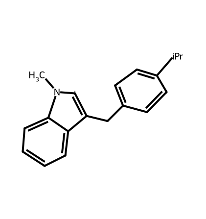 CC(C)c1ccc(Cc2[c]n(C)c3ccccc23)cc1